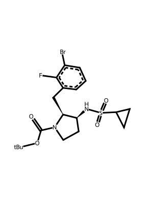 CC(C)(C)OC(=O)N1CC[C@H](NS(=O)(=O)C2CC2)[C@@H]1Cc1cccc(Br)c1F